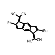 CCC1=Cc2cc3c(cc2C1=C(C#N)C#N)C=C(C(C)(C)C)C3=C(C#N)C#N